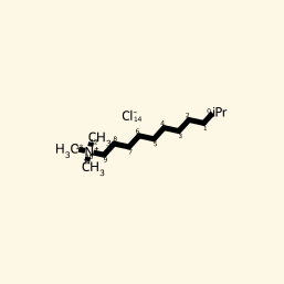 CC(C)CCCCCCCCC[N+](C)(C)C.[Cl-]